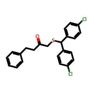 O=C(CCc1ccccc1)CSC(c1ccc(Cl)cc1)c1ccc(Cl)cc1